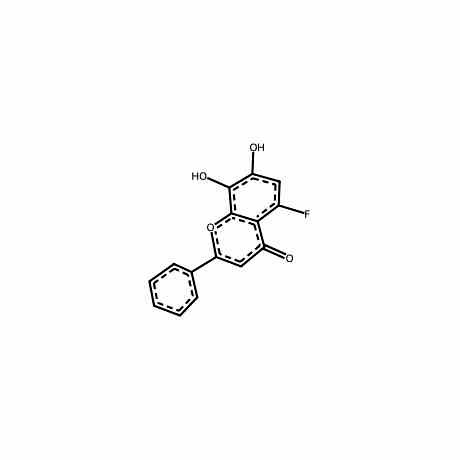 O=c1cc(-c2ccccc2)oc2c(O)c(O)cc(F)c12